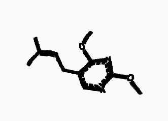 COc1ncc(CC=C(C)C)c(OC)n1